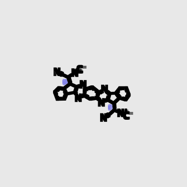 [C-]#[N+]/C(C#N)=C1/c2ccccc2-c2nc3cc4nc5c(nc4cc3nc21)-c1ccccc1/C5=C(/C#N)[N+]#[C-]